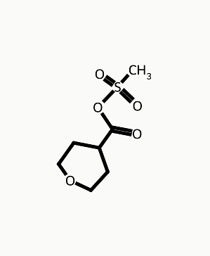 CS(=O)(=O)OC(=O)C1CCOCC1